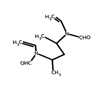 C=CN(C=O)C(C)CC(C)N(C=C)C=O